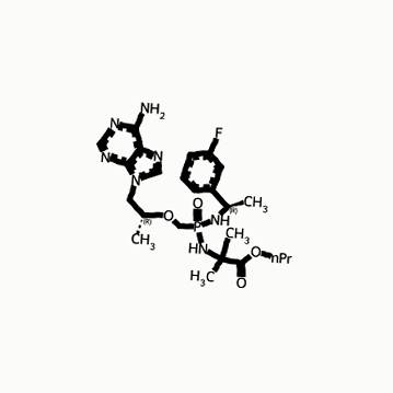 CCCOC(=O)C(C)(C)NP(=O)(CO[C@H](C)Cn1cnc2c(N)ncnc21)N[C@H](C)c1cccc(F)c1